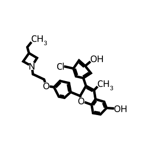 CCC1CN(CCOc2ccc(C3Oc4ccc(O)cc4C(C)=C3c3cc(O)cc(Cl)c3)cc2)C1